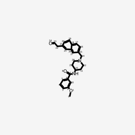 COc1cccc(C(=O)NC2CCN(Cc3ccc4ccc(CC=O)cc4c3)CC2)c1